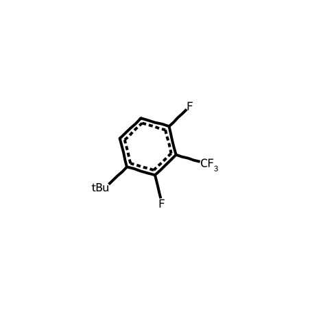 CC(C)(C)c1ccc(F)c(C(F)(F)F)c1F